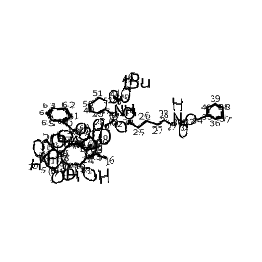 CC(=O)O[C@@]12CO[C@@H]1C[C@H](O)[C@@]1(C)C(=O)[C@H](O)C3=C(C)[C@@H](OC(=O)[C@H](OC(=O)CCCCCNC(=O)OCc4ccccc4)[C@@H](NC(=O)OC(C)(C)C)C4=CC=CCC4)C[C@@](O)([C@@H](OC(=O)c4ccccc4)[C@H]21)C3(C)C